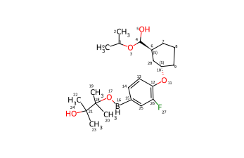 CC(C)OC(O)[C@H]1CCC[C@H](Oc2ccc(BOC(C)(C)C(C)(C)O)cc2F)C1